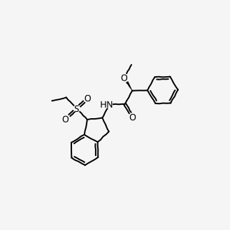 CCS(=O)(=O)C1c2ccccc2CC1NC(=O)[C@@H](OC)c1ccccc1